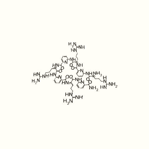 N=C(N)NCCC[C@@H](N)C(=O)Nc1cccc(C(=O)N[C@H](CCCNC(=N)N)C(=O)Nc2cccc(C(=O)N[C@H](CCCNC(=N)N)C(=O)Nc3cccc(C(=O)N[C@H](CCCNC(=N)N)C(=O)Nc4cccc(C(N)=O)n4)n3)n2)n1